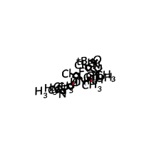 C[C@H](NCc1c(F)cc(Cl)cc1Oc1ccc(-c2cnc(CN(C)C)n2C)cc1)C(=O)N[C@@H](CO)C(=O)N(C)[C@@]1(Cc2ccc(Cl)cc2)CCCN(C(=O)OC(C)(C)C)C1